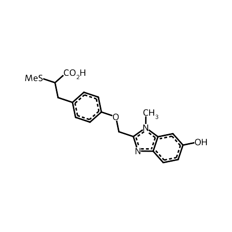 CSC(Cc1ccc(OCc2nc3ccc(O)cc3n2C)cc1)C(=O)O